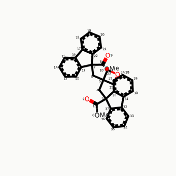 COC(=O)C1(CC2(CC3(C(=O)OC)c4ccccc4-c4ccccc43)COC2)c2ccccc2-c2ccccc21